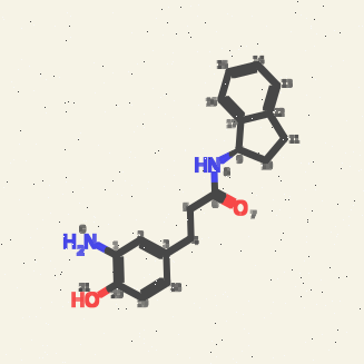 Nc1cc(CCC(=O)N[C@@H]2CCc3ccccc32)ccc1O